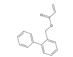 C=CC(=O)OCc1ccccc1-c1ccccc1